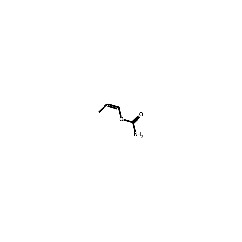 C/C=C\OC(N)=O